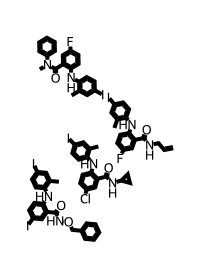 C=CCNC(=O)c1cc(F)ccc1Nc1ccc(I)cc1C.Cc1cc(I)ccc1Nc1ccc(Cl)cc1C(=O)NC1CC1.Cc1cc(I)ccc1Nc1ccc(F)cc1C(=O)N(C)c1ccccc1.Cc1cc(I)ccc1Nc1ccc(I)cc1C(=O)NOCc1ccccc1